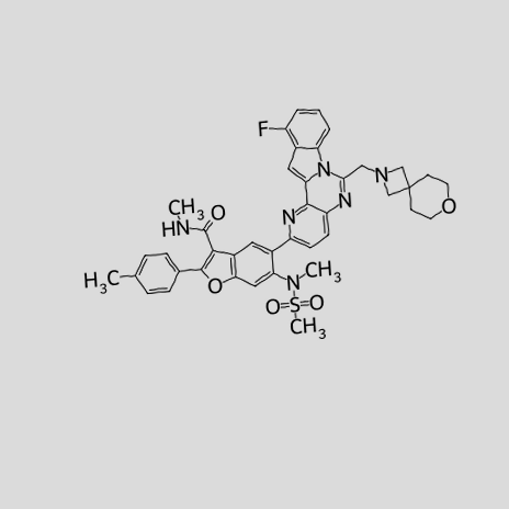 CNC(=O)c1c(-c2ccc(C)cc2)oc2cc(N(C)S(C)(=O)=O)c(-c3ccc4nc(CN5CC6(CCOCC6)C5)n5c6cccc(F)c6cc5c4n3)cc12